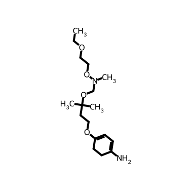 CCOCCON(C)COC(C)(C)CCOC1=CC=C(N)CC1